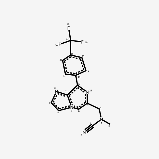 CN(C#N)Cc1cn2ccnc2c(-c2ccc(C(F)(F)F)cc2)n1